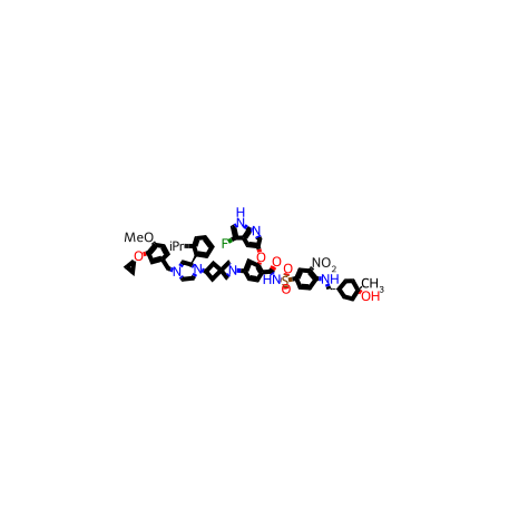 COc1ccc(CN2CCN(C3CC4(C3)CN(c3ccc(C(=O)NS(=O)(=O)c5ccc(NC[C@H]6CC[C@](C)(O)CC6)c([N+](=O)[O-])c5)c(Oc5cnc6[nH]cc(F)c6c5)c3)C4)[C@H](c3ccccc3C(C)C)C2)cc1OC1CC1